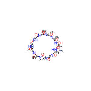 C/C=C/CC(C)[C@@H](O)C1C(=O)N[C@H](CC)C(=O)N(C)CC(=O)N(C)[C@@H]2CC(C)N(C2=O)[C@H](C(C)C)C(=O)N(C)[C@H](CC(C)C)C(=O)N[C@H](C)C(=O)N[C@@H](C)C(=O)N(C)[C@H](CC(C)C)C(=O)N(C)[C@H](CC(C)C)C(=O)N(C)[C@H](C(C)C)C(=O)N1C